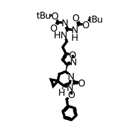 CC(C)(C)OC(=O)/N=C(\NCCc1cc([C@@H]2CC3(CC3)[C@H]3CN2C(=O)N3OCc2ccccc2)no1)NC(=O)OC(C)(C)C